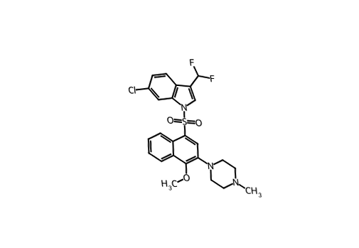 COc1c(N2CCN(C)CC2)cc(S(=O)(=O)n2cc(C(F)F)c3ccc(Cl)cc32)c2ccccc12